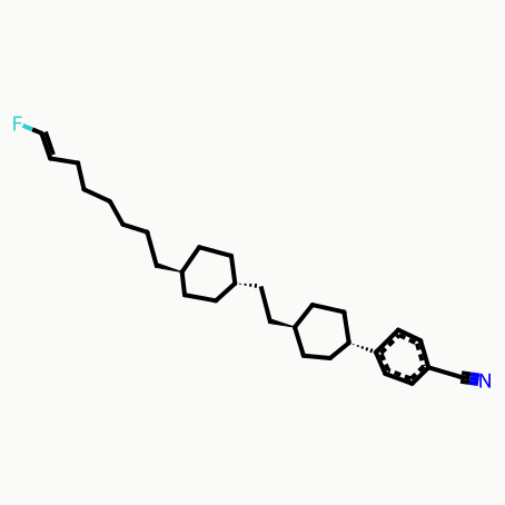 N#Cc1ccc([C@H]2CC[C@H](CC[C@H]3CC[C@H](CCCCCCC=CF)CC3)CC2)cc1